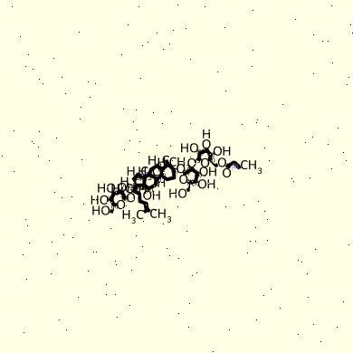 C/C=C/C(=O)OC[C@H]1O[C@@H](O[C@H]2[C@H](O[C@H]3CC[C@]4(C)[C@H]5C[C@@H](O)[C@@H]6[C@@H]([C@](C)(CCC=C(C)C)O[C@@H]7O[C@H](CO)[C@@H](O)[C@H](O)[C@H]7O)CC[C@@]6(C)[C@]5(C)CC[C@H]4C3(C)C)O[C@H](CO)[C@@H](O)[C@@H]2O)[C@H](O)[C@@H](O)[C@@H]1O